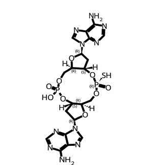 Nc1ncnc2c1ncn2[C@H]1C[C@@H]2OP(=O)(O)OC[C@H]3O[C@@H](n4cnc5c(N)ncnc54)C[C@@H]3O[P@](=O)(S)OC[C@H]2O1